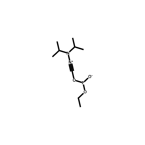 CCOP([O-])OC#[N+]N(C(C)C)C(C)C